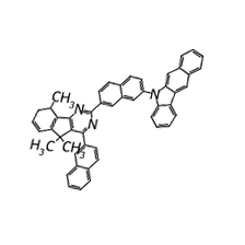 CC1CC=CC2=C1c1nc(-c3ccc4ccc(-n5c6ccccc6c6cc7ccccc7cc65)cc4c3)nc(-c3ccc4ccccc4c3)c1C2(C)C